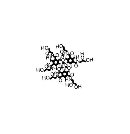 O=C(NCC(O)CO)c1c(I)c(C(=O)NCC(O)CO)c(I)c(-n2c(=O)n(-c3c(I)c(C(=O)NCC(O)CO)c(I)c(C(=O)NCC(O)CO)c3I)c(=O)n(-c3c(I)c(C(=O)NCC(O)CO)c(I)c(C(=O)NCC(O)CO)c3I)c2=O)c1I